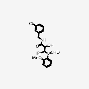 COc1ccccc1N(C=O)C(C(C)C)C(O)C(=O)NCc1cccc(Cl)c1